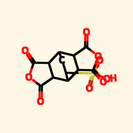 O=C1OC(=O)C2C1C1CC(S(=O)(=O)O)C2C2C(=O)OC(=O)C12